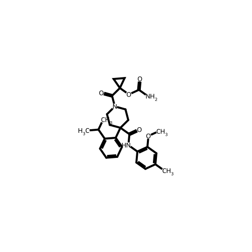 COc1cc(C)ccc1NC(=O)C1(c2ccccc2C(C)C)CCN(C(=O)C2(OC(N)=O)CC2)CC1